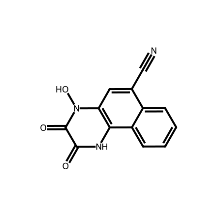 N#Cc1cc2c([nH]c(=O)c(=O)n2O)c2ccccc12